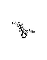 CC(C)(C)OC(=O)NC(F)(c1ccccc1)C(F)(F)C(F)(F)C(=O)O